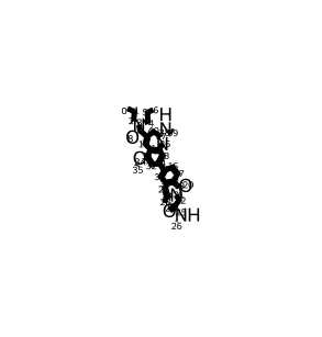 CCCN(CCC)C(=O)C1=Cc2c(cc(-c3ccc4c(=O)n(CC(=O)NC)c(C)cc4c3)cc2OC)N=C(NC)C1